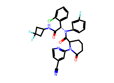 N#Cc1ccnc(N2C(=O)CCCC2C(=O)N(c2cccc(F)c2)[C@H](C(=O)NC2CC(F)(F)C2)c2ccccc2Cl)c1